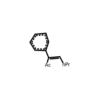 CCCC=C(C(C)=O)c1ccccc1